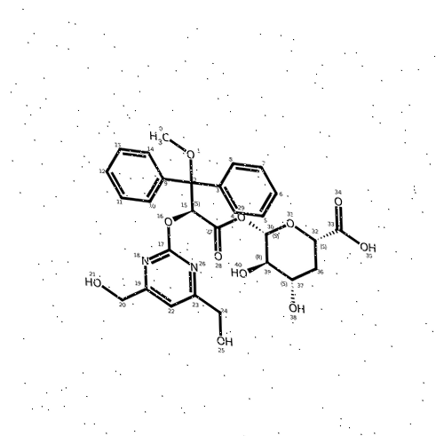 COC(c1ccccc1)(c1ccccc1)[C@H](Oc1nc(CO)cc(CO)n1)C(=O)O[C@@H]1O[C@H](C(=O)O)C[C@H](O)[C@H]1O